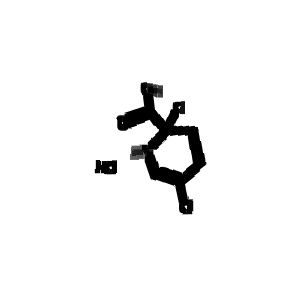 Cl.O=C(O)C1(Cl)C=CC(Cl)=CN1